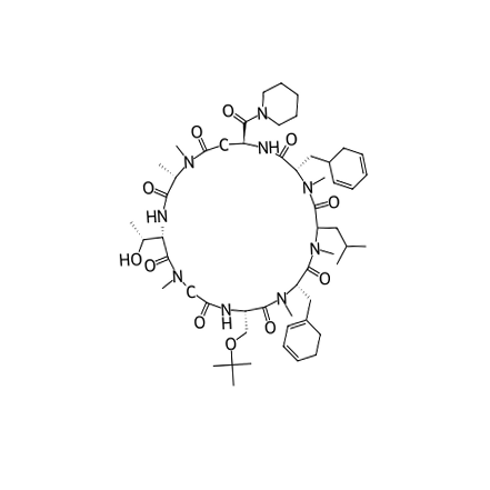 CC(C)CC1C(=O)N(C)[C@@H](CC2C=CC=CC2)C(=O)N[C@H](C(=O)N2CCCCC2)CC(=O)N(C)[C@@H](C)C(=O)N[C@@H]([C@@H](C)O)C(=O)N(C)CC(=O)N[C@@H](COC(C)(C)C)C(=O)N(C)[C@@H](CC2=CC=CCC2)C(=O)N1C